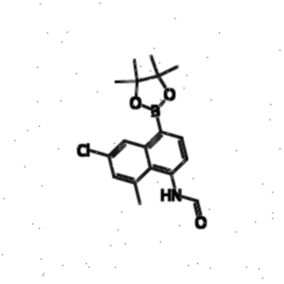 Cc1cc(Cl)cc2c(B3OC(C)(C)C(C)(C)O3)ccc(NC=O)c12